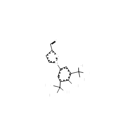 CC(C)(C)c1cc(-n2ccc(C=O)n2)cc(C(C)(C)C)c1O